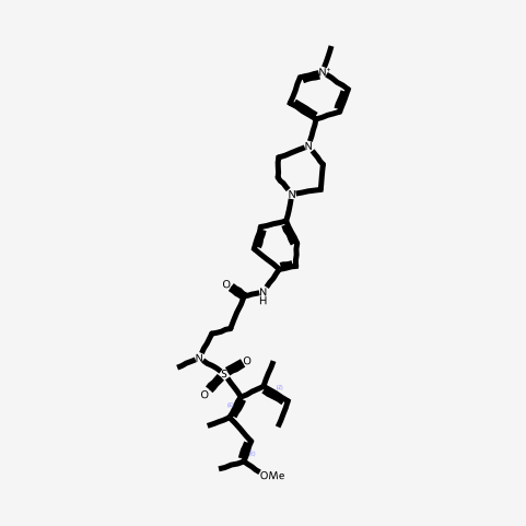 C\C=C(C)/C(=C(C)\C=C(/C)OC)S(=O)(=O)N(C)CCC(=O)Nc1ccc(N2CCN(c3cc[n+](C)cc3)CC2)cc1